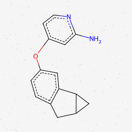 Nc1cc(Oc2ccc3c(c2)C2CC2C3)ccn1